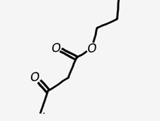 [CH2]C(=O)CC(=O)OCCC